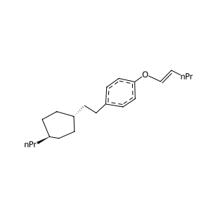 CCCC=COc1ccc(CC[C@H]2CC[C@H](CCC)CC2)cc1